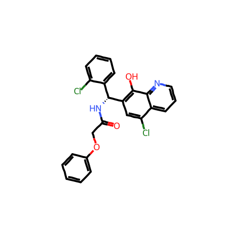 O=C(COc1ccccc1)N[C@H](c1ccccc1Cl)c1cc(Cl)c2cccnc2c1O